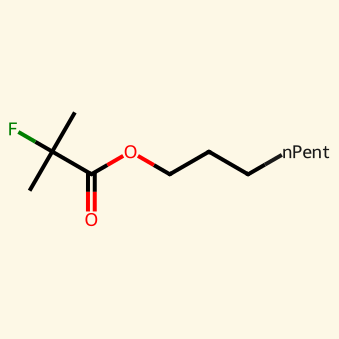 CCCCCCCCOC(=O)C(C)(C)F